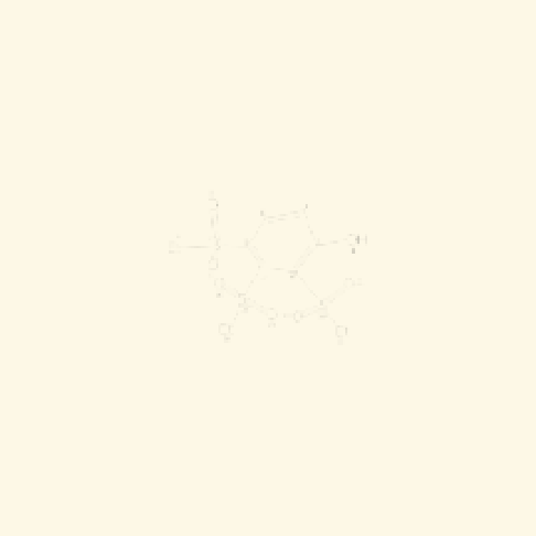 CCS(=O)(=O)c1ccc(O)c(S(=O)(=O)CC)c1S(=O)(=O)CC